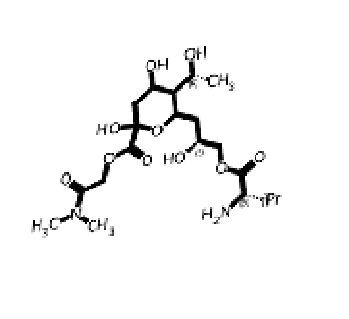 CC(C)[C@H](N)C(=O)OC[C@@H](O)CC1OC(O)(C(=O)OCC(=O)N(C)C)CC(O)C1[C@@H](C)O